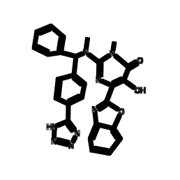 CN(c1nc(-c2nc3ccccc3o2)c(O)c(=O)n1C)C(c1ccccc1)c1ccc(-c2nnn[nH]2)cc1